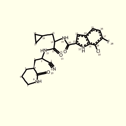 N#CC(C[C@@H]1CCCNC1=O)NC(=O)C(CC1CC1)NC(=O)c1cc2ccc(F)c(Cl)c2[nH]1